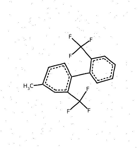 Cc1ccc(-c2ccccc2C(F)(F)F)c(C(F)(F)F)c1